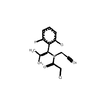 C#CCN(C(=O)CCl)C(=C(C)C)c1c(F)cccc1Cl